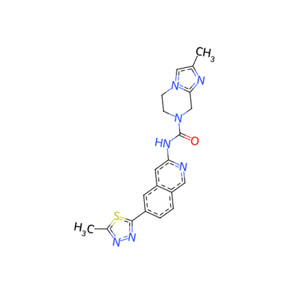 Cc1cn2c(n1)CN(C(=O)Nc1cc3cc(-c4nnc(C)s4)ccc3cn1)CC2